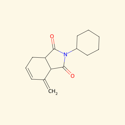 C=C1C=CCC2C(=O)N(C3CCCCC3)C(=O)C12